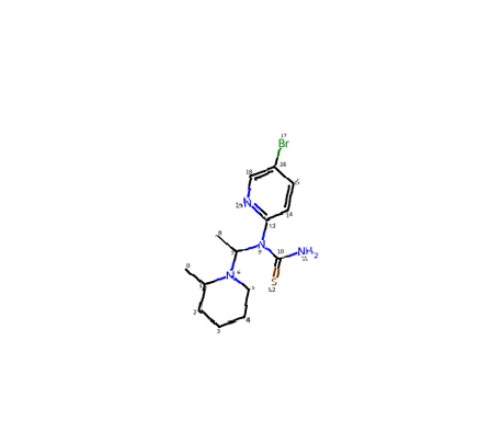 CC1CCCCN1C(C)N(C(N)=S)c1ccc(Br)cn1